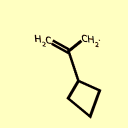 [CH2]C(=C)C1CCC1